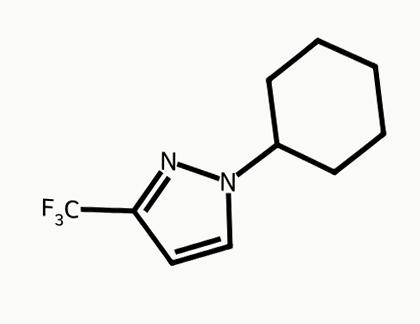 FC(F)(F)c1ccn(C2CCCCC2)n1